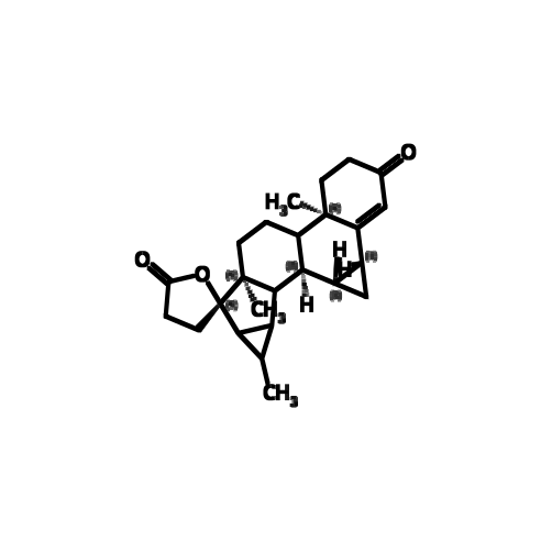 CC1C2C3[C@H]4C(CC[C@]3(C)[C@]3(CCC(=O)O3)C12)[C@@]1(C)CCC(=O)C=C1[C@@H]1C[C@H]41